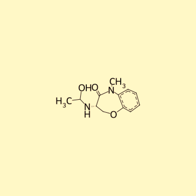 CC(O)N[C@H]1COc2ccccc2N(C)C1=O